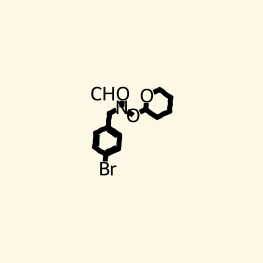 O=CN(Cc1ccc(Br)cc1)OC1CCCCO1